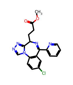 COC(=O)CCC1N=C(c2ccccn2)c2cc(Cl)ccc2-n2cnnc21